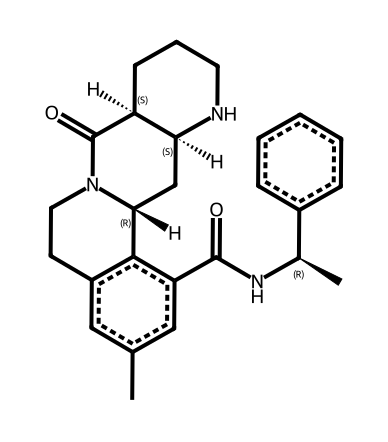 Cc1cc2c(c(C(=O)N[C@H](C)c3ccccc3)c1)[C@H]1C[C@@H]3NCCC[C@@H]3C(=O)N1CC2